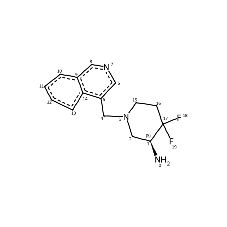 N[C@H]1CN(Cc2cncc3ccccc23)CCC1(F)F